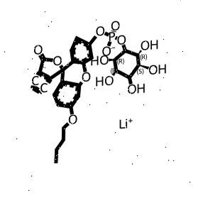 CCCCOc1ccc2c(c1)Oc1cc(OP(=O)([O-])OC3[C@H](O)[C@H](O)C(O)[C@H](O)[C@H]3O)ccc1C21OC(=O)c2ccccc21.[Li+]